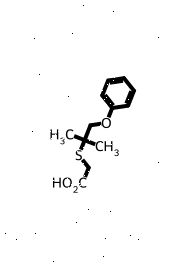 CC(C)(COc1ccccc1)SCC(=O)O